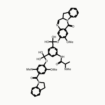 CNc1cc(OC(O)(O)c2cc(NC(=O)C(C)NC)cc(C(O)(O)Oc3cc4c(cc3OC)C(=O)N3c5ccccc5CC3C=N4)c2)c(OC)cc1C(=O)N1CCc2ccccc21